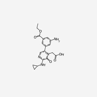 CCOC(=O)c1cc(N)cc(-c2cnc(NC3CC3)c(=O)n2CC(=O)O)c1